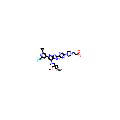 COCC1(CN(C)c2cc(-c3cc(C4CC4)nc(C(F)(F)F)c3)nc3nc(-c4cnc(N5CCN(CCC(=O)[O-])C[C@H]5C)cn4)[nH]c23)CCC1.[Na+]